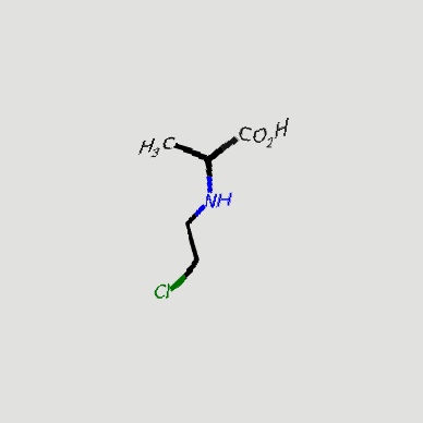 CC(NCCCl)C(=O)O